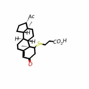 CC(=O)[C@H]1CC[C@H]2[C@@H]3CCC4=CC(=O)CC(SCCC(=O)O)[C@]4(C)[C@H]3CC[C@]12C